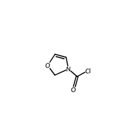 O=C(Cl)N1C=COC1